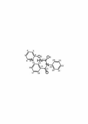 O=C(NOc1ccccn1)N(C(=O)c1ccccc1)c1ccccc1